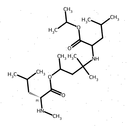 CN[C@H](CC(C)C)C(=O)OC(C)CC(C)(C)NC(CC(C)C)C(=O)OC(C)C